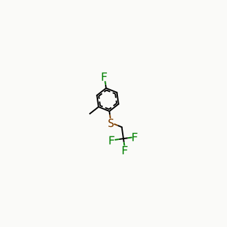 Cc1cc(F)ccc1SCC(F)(F)F